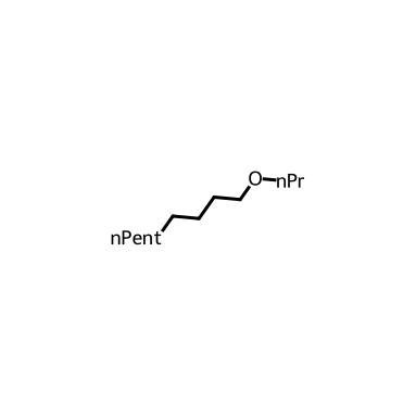 [CH2]CCCCCCCCOCCC